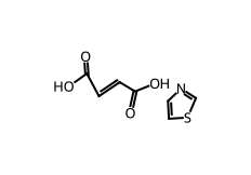 O=C(O)C=CC(=O)O.c1cscn1